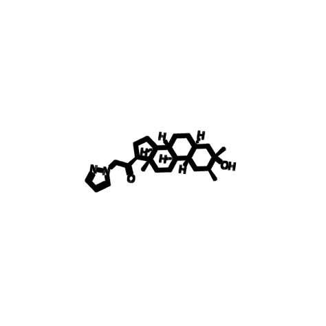 C[C@H]1C[C@H]2[C@@H](CC[C@@H]3[C@@H]2CC[C@]2(C)[C@@H](C(=O)Cn4cccn4)CC[C@@H]32)C[C@]1(C)O